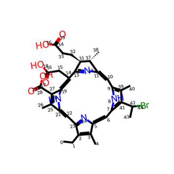 CCC1=C(C)c2cc3[nH]c(cc4nc(c(CC(=O)O)c5[nH]c(cc1n2)c(C)c5C(=O)O)[C@@H](CCC(=O)O)[C@@H]4C)c(C)c3C(C)Br